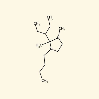 CCCCN1CCN(C)C1(C)C(CC)CC